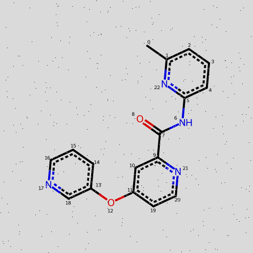 Cc1cccc(NC(=O)c2cc(Oc3cccnc3)ccn2)n1